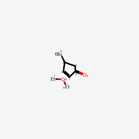 CC(C)(C)C1C=CC(=O)C1.CCOCC